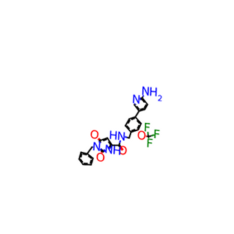 Nc1ccc(-c2ccc(CNC(=O)c3cc(=O)n(Cc4ccccc4)c(=O)[nH]3)c(OC(F)(F)F)c2)cn1